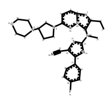 CCc1nc2ccc(N3CCC(N4CCOCC4)C3)nn2c1N(C)c1nc(-c2ccc(F)cc2)c(C#N)s1